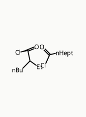 CCCCC(CC)C(=O)Cl.CCCCCCCC(=O)Cl